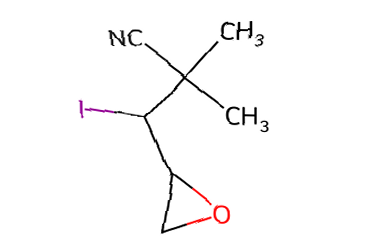 CC(C)(C#N)C(I)C1CO1